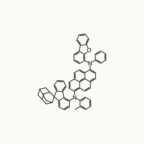 Cc1ccccc1N(c1cccc2c1-c1ccccc1C21C2CC3CC(C2)CC1C3)c1ccc2ccc3c(N(c4ccccc4)c4cccc5c4oc4ccccc45)ccc4ccc1c2c43